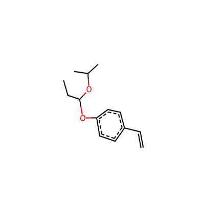 C=Cc1ccc(OC(CC)OC(C)C)cc1